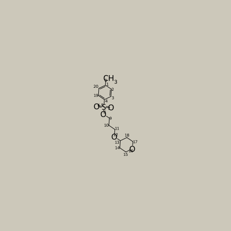 Cc1ccc(S(=O)(=O)OCCCOC2CCOCC2)cc1